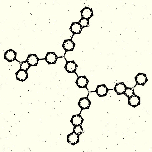 c1ccc(-n2c3ccccc3c3cc(-c4ccc(N(c5ccc(-c6ccc(N(c7ccc(-c8ccc9c(c8)oc8ccccc89)cc7)c7ccc(-c8ccc9c(c8)c8ccccc8n9-c8ccccc8)cc7)cc6)cc5)c5ccc(-c6ccc7c(c6)oc6ccccc67)cc5)cc4)ccc32)cc1